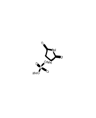 COS(=O)(=O)OC.O=C1CCC(=O)N1